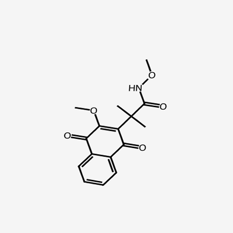 CONC(=O)C(C)(C)C1=C(OC)C(=O)c2ccccc2C1=O